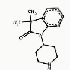 CC1(C)C(=O)N(C2CCNCC2)c2ncccc21